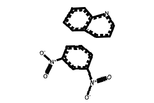 O=[N+]([O-])c1cccc([N+](=O)[O-])c1.c1ccc2ncccc2c1